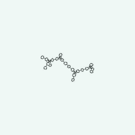 c1ccc(-c2ccc(N(c3ccc(-c4ccc(-c5ccc(-c6ccc(N(c7ccccc7)c7ccc(-c8ccc(-n9c%10ccc(-c%11ccccc%11)cc%10c%10cc(-c%11ccccc%11)c%11ccccc%11c%109)cc8)cc7)cc6)cc5)cc4)cc3)c3ccc(-c4ccc(-c5ccc(-n6c7ccccc7c7ccc8ccccc8c76)cc5)cc4)cc3)cc2)cc1